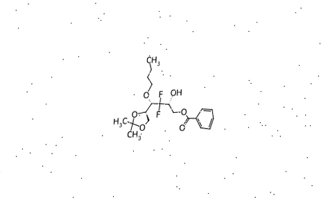 CCCCO[C@@H]([C@H]1COC(C)(C)O1)C(F)(F)[C@H](O)COC(=O)c1ccccc1